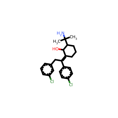 CC(C)(N)C1CCCC(=C(Cc2cccc(Cl)c2)c2ccc(Cl)cc2)C1O